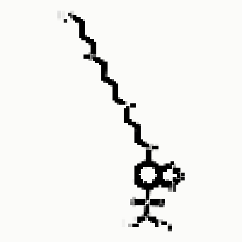 CN(C)S(=O)(=O)c1ccc(NCCCNCCCCNCCCN)c2nonc12